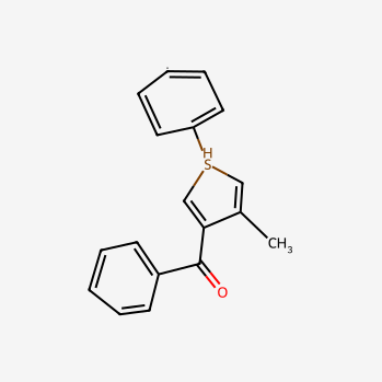 CC1=C[SH](c2cc[c]cc2)C=C1C(=O)c1ccccc1